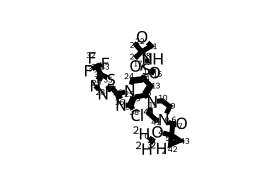 [2H]C([2H])([2H])OC1(C(=O)N2CCN(c3cc(S(=O)(=O)NC4(C)COC4)cn4c(-c5nnc(C(F)(F)F)s5)nc(Cl)c34)CC2)CC1